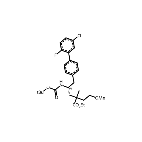 CCOC(=O)C(C)(CCOC)C[C@@H](Cc1ccc(-c2cc(Cl)ccc2F)cc1)NC(=O)OC(C)(C)C